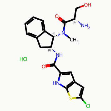 CN(C(=O)[C@@H](N)CO)[C@H]1c2ccccc2C[C@H]1NC(=O)c1cc2cc(Cl)sc2[nH]1.Cl